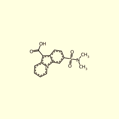 CN(C)S(=O)(=O)c1ccc2c(C(=O)O)c3ccccn3c2c1